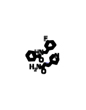 NC(=O)/C=C/c1ccncc1.O=C(NCc1cccc(F)c1)c1ccccc1